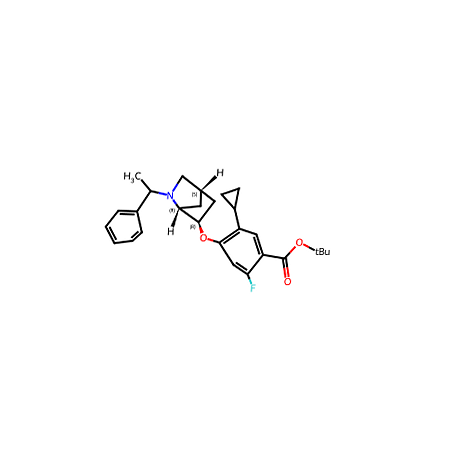 CC(c1ccccc1)N1C[C@H]2C[C@@H]1[C@H](Oc1cc(F)c(C(=O)OC(C)(C)C)cc1C1CC1)C2